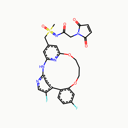 CS(=O)(Cc1cc2nc(c1)OCCCOc1cc(F)ccc1-c1cc(ncc1F)N2)=NC(=O)CN1C(=O)C=CC1=O